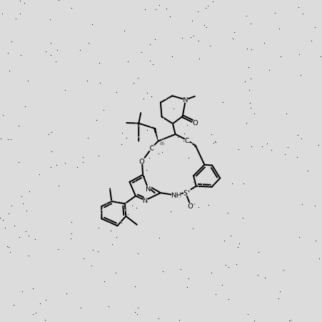 Cc1cccc(C)c1-c1cc2nc(n1)N[S+]([O-])c1cccc(c1)CCC(C1CCCN(C)C1=O)[C@H](CC(C)(C)C)CO2